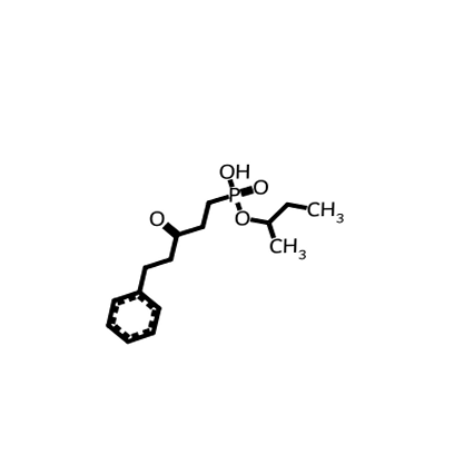 CCC(C)OP(=O)(O)CCC(=O)CCc1ccccc1